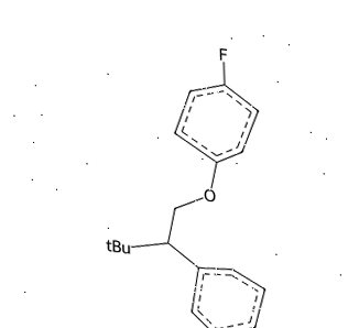 CC(C)(C)C(COc1ccc(F)cc1)c1ccccc1